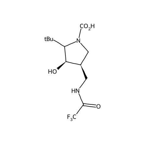 CC(C)(C)C1[C@H](O)[C@H](CNC(=O)C(F)(F)F)CN1C(=O)O